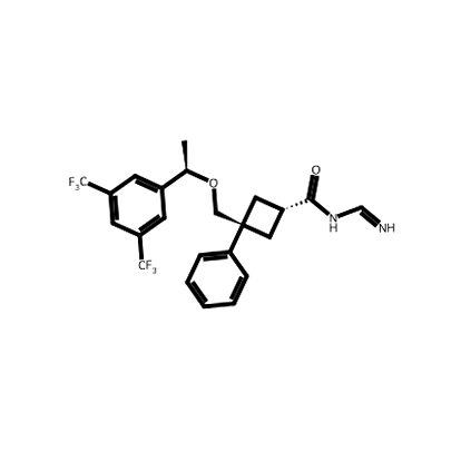 C[C@@H](OC[C@]1(c2ccccc2)C[C@@H](C(=O)NC=N)C1)c1cc(C(F)(F)F)cc(C(F)(F)F)c1